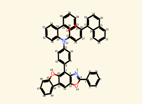 c1ccc(-c2nc3c(-c4ccc(N(c5ccc(-c6cccc7ccccc67)cc5)c5ccccc5-c5ccccc5)cc4)c4oc5ccccc5c4cc3o2)cc1